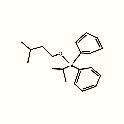 CC(C)CCO[Si](c1ccccc1)(c1ccccc1)C(C)C